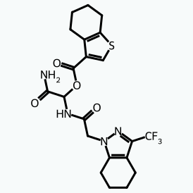 NC(=O)C(NC(=O)Cn1nc(C(F)(F)F)c2c1CCCC2)OC(=O)c1csc2c1CCCC2